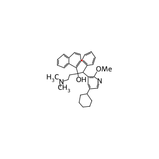 COc1ncc(C2CCCCC2)cc1C(c1ccccc1)C(O)(CCN(C)C)c1cccc2ccccc12